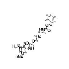 CCCCOC[C@H](NC(=O)COCCOCCNC(=O)OCc1ccccc1)C(=O)NN